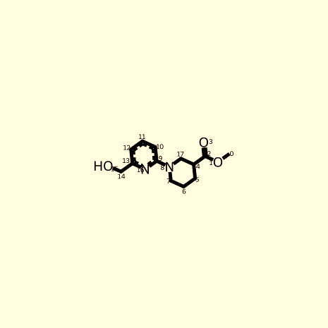 COC(=O)C1CCCN(c2cccc(CO)n2)C1